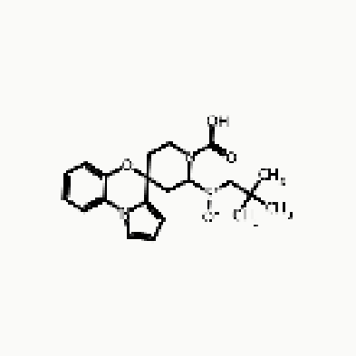 CC(C)(C)C[S+]([O-])C1CC2(CCN1C(=O)O)Oc1ccccc1-n1cccc12